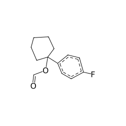 O=COC1(c2ccc(F)cc2)CCCCC1